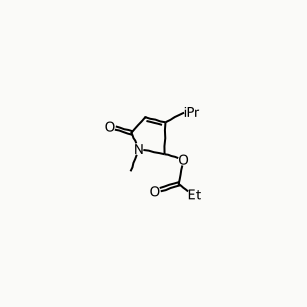 CCC(=O)OC1C(C(C)C)=CC(=O)N1C